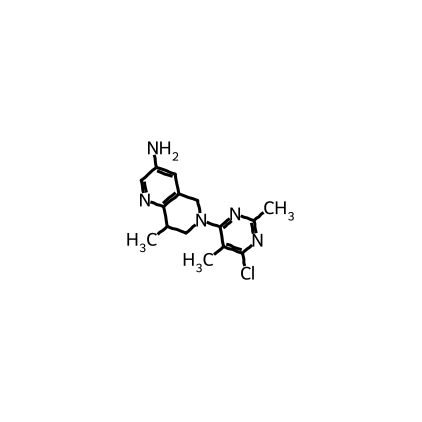 Cc1nc(Cl)c(C)c(N2Cc3cc(N)cnc3C(C)C2)n1